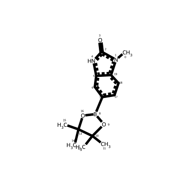 Cn1c(=O)[nH]c2cc(B3OC(C)(C)C(C)(C)O3)ccc21